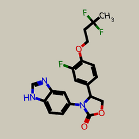 CC(F)(F)CCOc1ccc(C2COC(=O)N2c2ccc3[nH]cnc3c2)cc1F